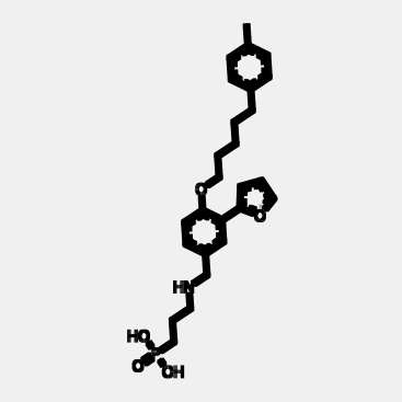 Cc1ccc(CCCCCOc2ccc(CNCCCP(=O)(O)O)cc2-c2ccco2)cc1